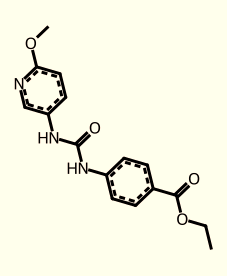 CCOC(=O)c1ccc(NC(=O)Nc2ccc(OC)nc2)cc1